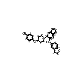 Clc1ccc(OC2CCN(c3nc4nonc4nc3Nc3ccc4c(c3)CCO4)CC2)cc1